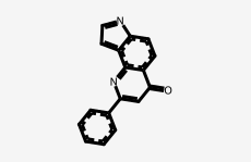 O=C1C=C(c2ccccc2)N=c2c1ccc1c2=CC=N1